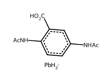 CC(=O)Nc1ccc(NC(C)=O)c(C(=O)O)c1.[PbH2]